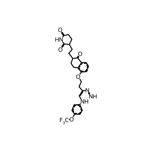 N=N/C(=C\Nc1ccc(OC(F)(F)F)cc1)CCOc1cccc2c1CCC(CCC1CCC(=O)NC1=O)C2=O